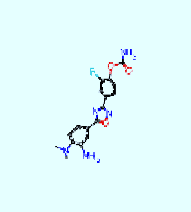 CN(C)c1ccc(-c2nc(-c3ccc(OC(N)=O)c(F)c3)no2)cc1N